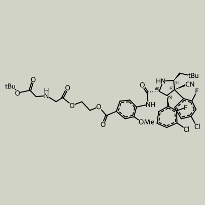 COc1cc(C(=O)OCCOC(=O)CNCC(=O)OC(C)(C)C)ccc1NC(=O)[C@@H]1N[C@@H](CC(C)(C)C)[C@](C#N)(c2ccc(Cl)cc2F)[C@H]1c1cccc(Cl)c1F